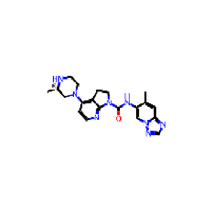 Cc1cc2ncnn2cc1NC(=O)N1CCc2c(N3CCN[C@H](C)C3)ccnc21